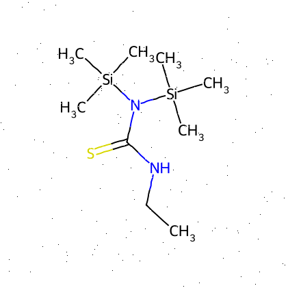 CCNC(=S)N([Si](C)(C)C)[Si](C)(C)C